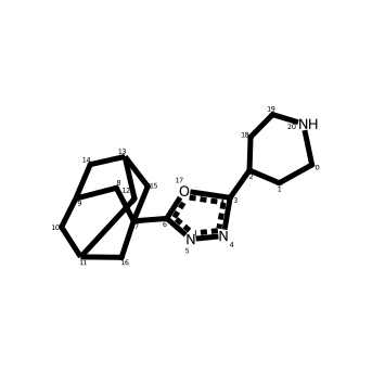 C1CC(c2nnc(C34CC5CC(CC(C5)C3)C4)o2)CCN1